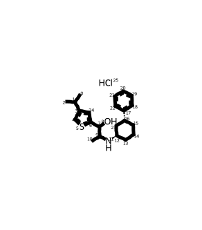 CC(C)c1csc(C(O)C(C)N[C@H]2CCC[C@@H](c3ccccc3)C2)c1.Cl